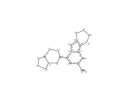 Nc1nc(N2CCN3CCCC3C2)c2sc3c(c2n1)CCCC3